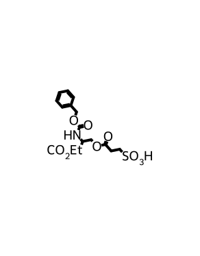 CCOC(=O)C(COC(=O)CCS(=O)(=O)O)NC(=O)OCc1ccccc1